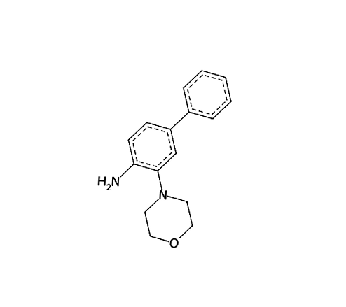 Nc1ccc(-c2ccccc2)cc1N1CCOCC1